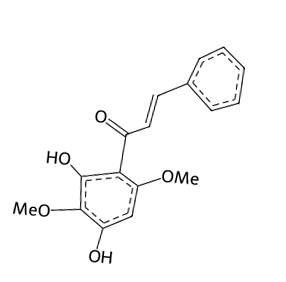 COc1cc(O)c(OC)c(O)c1C(=O)C=Cc1ccccc1